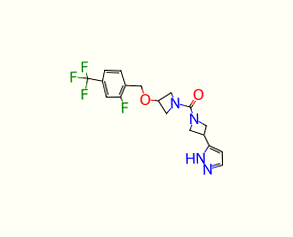 O=C(N1CC(OCc2ccc(C(F)(F)F)cc2F)C1)N1CC(c2ccn[nH]2)C1